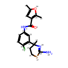 Cc1cc(C(=O)Nc2ccc(F)c(C3(C)CCSC(N)=N3)c2)c(C)o1